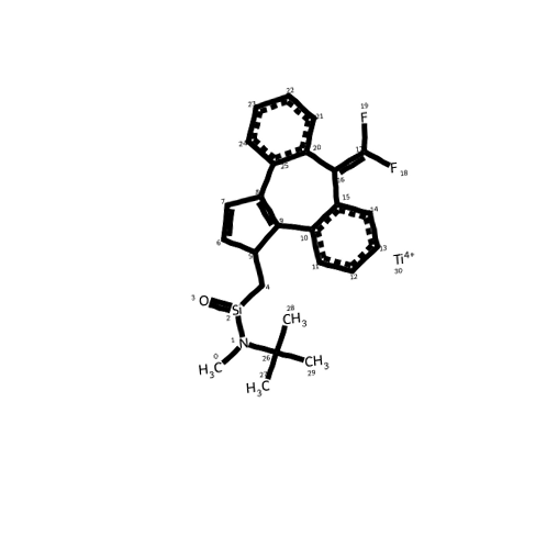 CN([Si](=O)CC1C=CC2=C1c1ccccc1C(=C(F)F)c1ccccc12)C(C)(C)C.[Ti+4]